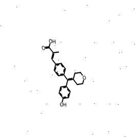 C/C(=C\c1ccc(C(=C2CCOCC2)c2ccc(O)cc2)cc1)C(=O)O